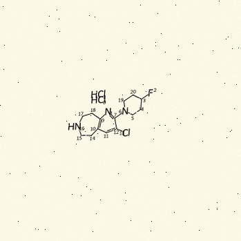 Cl.Cl.FC1CCN(c2nc3c(cc2Cl)CCNCC3)CC1